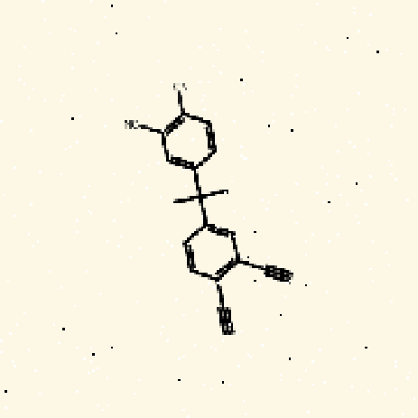 C#Cc1ccc(C(C)(C)c2ccc(C#N)c(C#N)c2)cc1C#C